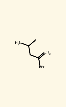 C=C(CCC)CC(N)I